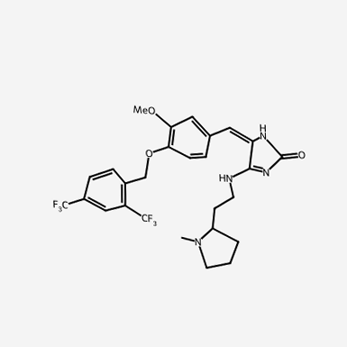 COc1cc(C=C2NC(=O)N=C2NCCC2CCCN2C)ccc1OCc1ccc(C(F)(F)F)cc1C(F)(F)F